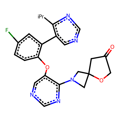 CC(C)c1ncncc1-c1cc(F)ccc1Oc1cncnc1N1CC2(CC(=O)CO2)C1